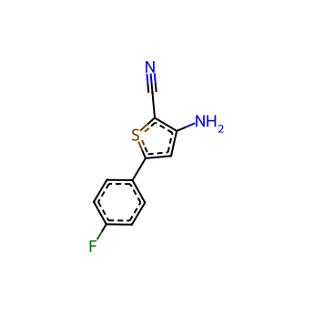 N#Cc1sc(-c2ccc(F)cc2)cc1N